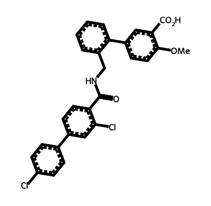 COc1ccc(-c2ccccc2CNC(=O)c2ccc(-c3ccc(Cl)cc3)cc2Cl)cc1C(=O)O